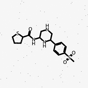 CS(=O)(=O)c1ccc(C2CNCC(NC(=O)C3CCCS3)N2)cc1